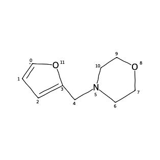 [c]1ccc(CN2CCOCC2)o1